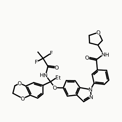 CCC(NC(=O)C(C)(F)F)(Oc1ccc2c(cnn2-c2cccc(C(=O)NC3CCOC3)c2)c1)c1ccc2c(c1)OCCO2